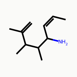 C=C(C)C(C)C(C)C(N)/C=C\C